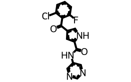 O=C(Nc1cncnc1)c1cc(C(=O)c2c(F)cccc2Cl)c[nH]1